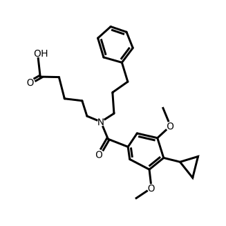 COc1cc(C(=O)N(CCCCC(=O)O)CCCc2ccccc2)cc(OC)c1C1CC1